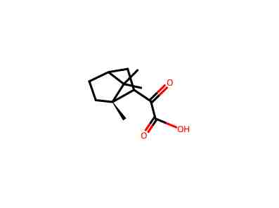 CC1(C)C2CC[C@@]1(C)C(C(=O)C(=O)O)C2